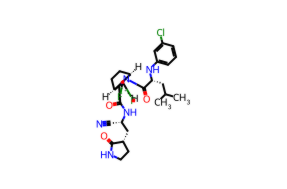 CC(C)C[C@@H](Nc1cccc(Cl)c1)C(=O)N1[C@@H]2CC[C@H]([C@@H]1C(=O)N[C@@H](C#N)C[C@@H]1CCNC1=O)C(F)(F)C2